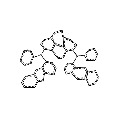 c1ccc(N(c2cccc3cc4ccccc4cc23)c2ccc3ccc4ccc(N(c5ccccc5)c5cccc6cc7ccccc7cc56)c5ccc2c3c45)cc1